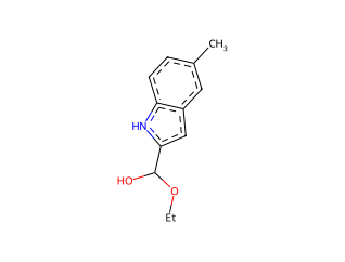 CCOC(O)c1cc2cc(C)ccc2[nH]1